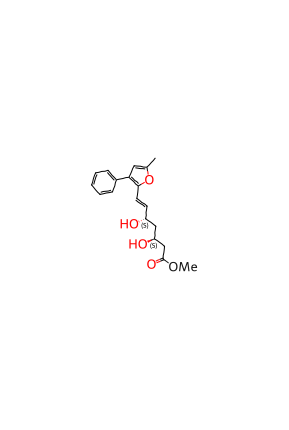 COC(=O)C[C@@H](O)C[C@H](O)C=Cc1oc(C)cc1-c1ccccc1